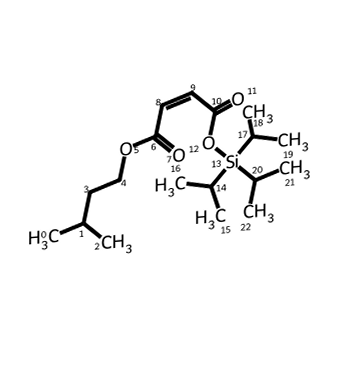 CC(C)CCOC(=O)/C=C\C(=O)O[Si](C(C)C)(C(C)C)C(C)C